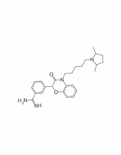 CC1CCC(C)N1CCCCCN1C(=O)C(c2cccc(C(=N)N)c2)Oc2ccccc21